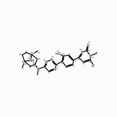 CN(c1cnc(-c2ccc(-c3cc(F)n(C)c(=O)n3)cc2O)nn1)[C@H]1C[C@]2(C)CC[C@](C)(C1)N2